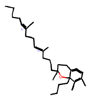 CCCC/C=C(\C)CC/C=C(\C)CCCC1(C)CCC2=C=CC(C)=C(C)C2(CCCC)O1